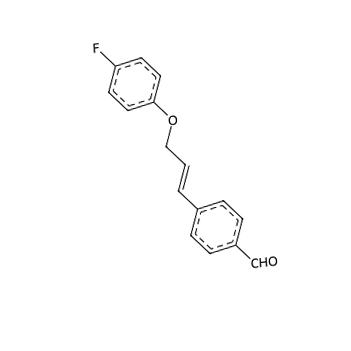 O=Cc1ccc(C=CCOc2ccc(F)cc2)cc1